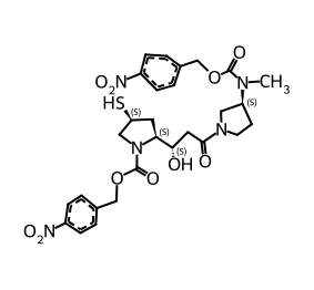 CN(C(=O)OCc1ccc([N+](=O)[O-])cc1)[C@H]1CCN(C(=O)C[C@H](O)[C@@H]2C[C@H](S)CN2C(=O)OCc2ccc([N+](=O)[O-])cc2)C1